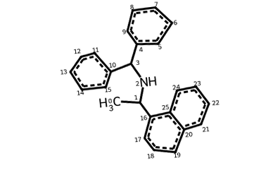 CC(NC(c1ccccc1)c1ccccc1)c1cccc2ccccc12